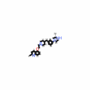 Cc1ccc2c(OCCN3CCC(Cc4cccc(N5CCN[C@@H](C)C5)c4)CC3)cccc2n1